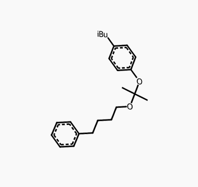 CCC(C)c1ccc(OC(C)(C)OCCCCc2ccccc2)cc1